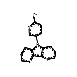 CC(C)c1ccc(-n2c3cccnc3c3ncccc32)cn1